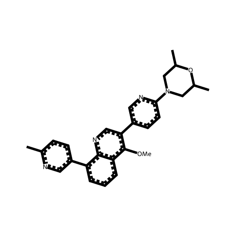 COc1c(-c2ccc(N3CC(C)OC(C)C3)nc2)cnc2c(-c3ccc(C)nc3)cccc12